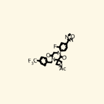 CC(=O)N1CC2(C1)C(=O)N(c1ccc(-c3ncon3)cc1F)CC(=O)N2Cc1ccc(C(F)(F)F)cc1